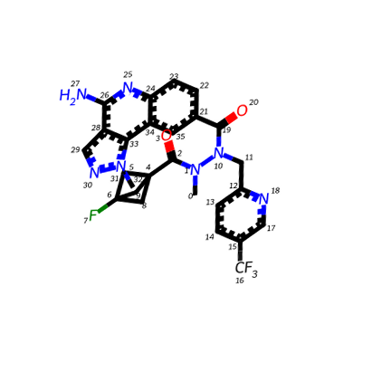 CN(C(=O)C12CC(F)(C1)C2)N(Cc1ccc(C(F)(F)F)cn1)C(=O)c1ccc2nc(N)c3cnn(C)c3c2c1